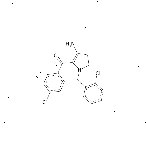 NC1=C(C(=O)c2ccc(Cl)cc2)N(Cc2ccccc2Cl)CC1